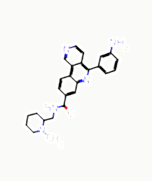 CN1CCCCC1CNC(=O)c1ccc2c(c1)nc(-c1cccc(N)c1)c1ccncc12